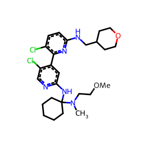 COCCN(C)C1(Nc2cc(-c3nc(NCC4CCOCC4)ccc3Cl)c(Cl)cn2)CCCCC1